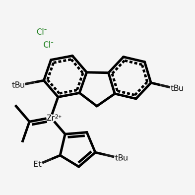 CCC1C=C(C(C)(C)C)C=[C]1[Zr+2](=[C](C)C)[c]1c(C(C)(C)C)ccc2c1Cc1cc(C(C)(C)C)ccc1-2.[Cl-].[Cl-]